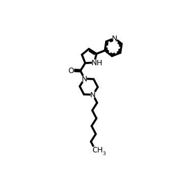 CCCCCCCN1CCN(C(=O)C2CC=C(c3cccnc3)N2)CC1